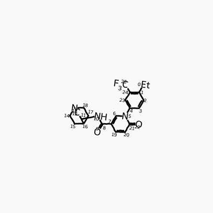 CCc1ccc(-n2cc(C(=O)NC3CN4CCC3CC4)ccc2=O)cc1C(F)(F)F